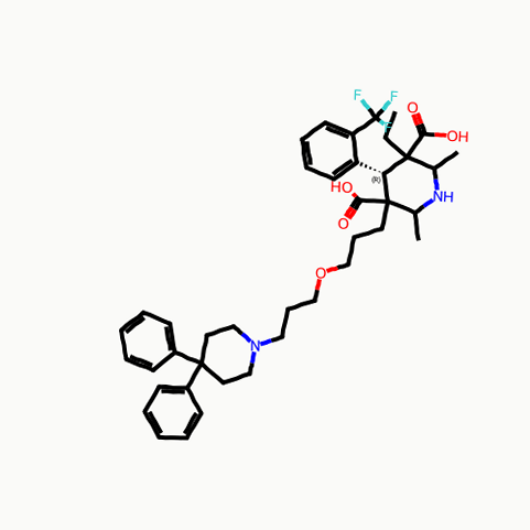 CCC1(C(=O)O)C(C)NC(C)C(CCCOCCCN2CCC(c3ccccc3)(c3ccccc3)CC2)(C(=O)O)[C@@H]1c1ccccc1C(F)(F)F